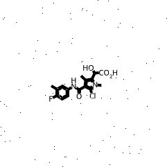 Cc1cc(NC(=O)c2c(C)c(C(O)C(=O)O)n(C)c2Cl)ccc1F